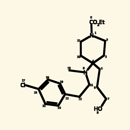 CCOC(=O)N1CCC(CCCO)(N(C)CCc2ccc(Cl)cc2)CC1